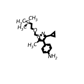 Cc1c(-c2ccc(N)cc2)c(C2CC2)nn1COCC[Si](C)(C)C